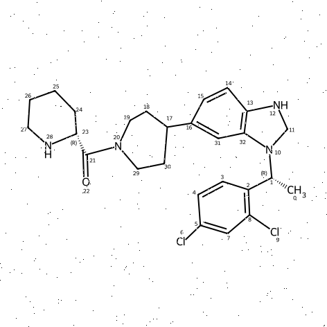 C[C@H](c1ccc(Cl)cc1Cl)N1CNc2ccc(C3CCN(C(=O)[C@H]4CCCCN4)CC3)cc21